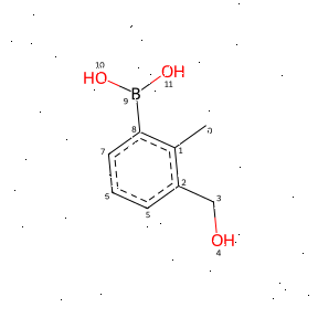 Cc1c(CO)cccc1B(O)O